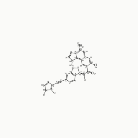 Cc1c(C#Cc2ccc3c(c2)OC[C@H]3N(C)C(=O)c2cc3c(cc2Cl)nc(N)c2cnn(C)c23)cnn1C